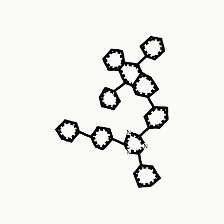 c1ccc(-c2ccc(-c3nc(-c4ccccc4)nc(-c4cccc(-c5ccc6c(-c7ccccc7)c7ccccc7c(-c7ccccc7)c6c5)c4)n3)cc2)cc1